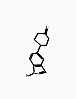 CC(C)n1ncc2cc(C3CCC(=O)CC3)ccc21